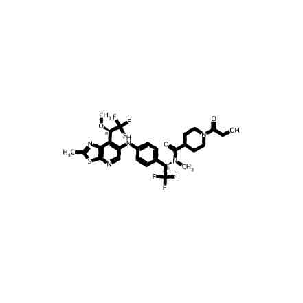 CO[C@H](c1c(Nc2ccc([C@H](N(C)C(=O)C3CCN(C(=O)CO)CC3)C(F)(F)F)cc2)cnc2sc(C)nc12)C(F)(F)F